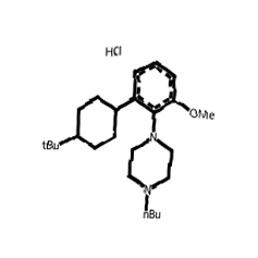 CCCCN1CCN(c2c(OC)cccc2C2CCC(C(C)(C)C)CC2)CC1.Cl